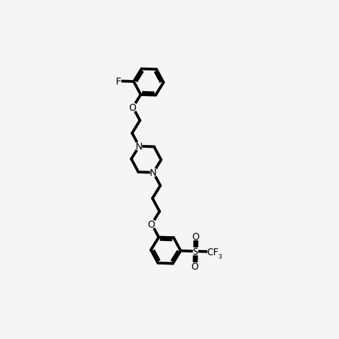 O=S(=O)(c1cccc(OCCCN2CCN(CCOc3ccccc3F)CC2)c1)C(F)(F)F